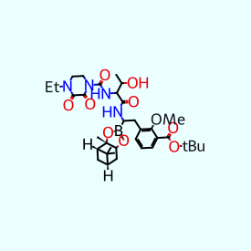 CCN1CCN(C(=O)NC(C(=O)NC(Cc2cccc(C(=O)OC(C)(C)C)c2OC)B2OC3C[C@@H]4C[C@@H](C4(C)C)[C@]3(C)O2)C(C)O)C(=O)C1=O